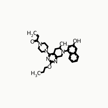 C=CC(=O)N1CCN(c2nc(OCCC)nc3c2CC(C)N(c2cc(O)cc4ccccc24)C3)CC1